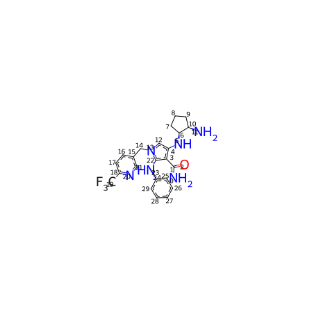 NC(=O)c1c(N[C@H]2CCC[C@H]2N)cn(Cc2ccc(C(F)(F)F)nc2)c1Nc1ccccc1